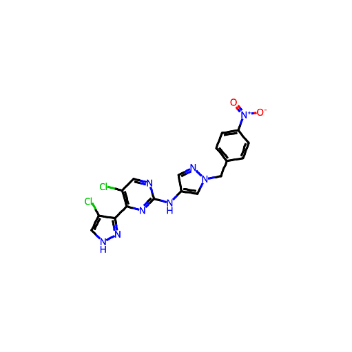 O=[N+]([O-])c1ccc(Cn2cc(Nc3ncc(Cl)c(-c4n[nH]cc4Cl)n3)cn2)cc1